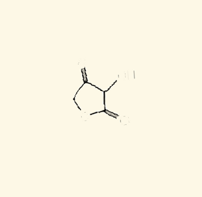 O=C1COC(=O)C1O